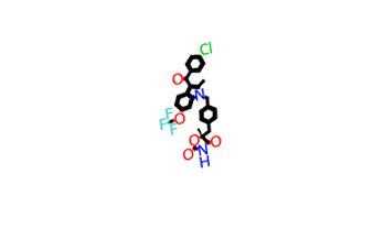 Cc1c(C(=O)c2ccc(Cl)cc2)c2ccc(OC(F)(F)F)cc2n1Cc1ccc(C[C@@]2(C)OC(=O)NC2=O)cc1